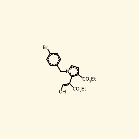 CCOC(=O)C(=CO)c1c(C(=O)OCC)ccn1Cc1ccc(Br)cc1